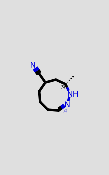 C[C@H]1CC(C#N)CCC/C=N\N1